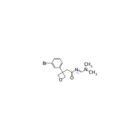 CN(C)/C=N/C(=O)CC1(c2cccc(Br)c2)COC1